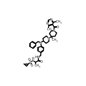 Cc1ncnc(C)c1C(=O)N1CCC(C)(N2CCC(N(Cc3ccccc3)c3ccc(CNC(=O)C(C)NS(=O)(=O)C4CC4)cc3)CC2)CC1